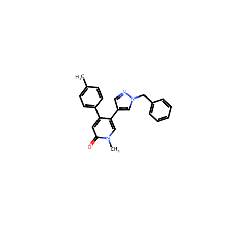 Cc1ccc(-c2cc(=O)n(C)cc2-c2cnn(Cc3ccccc3)c2)cc1